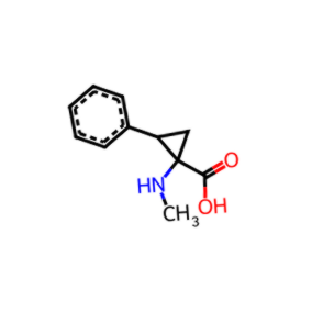 CNC1(C(=O)O)CC1c1ccccc1